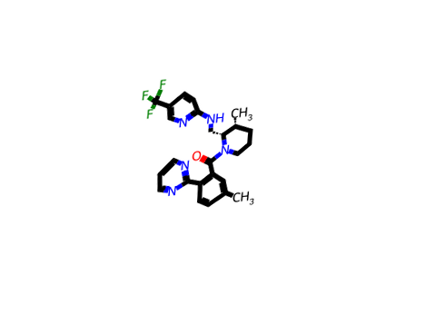 Cc1ccc(-c2ncccn2)c(C(=O)N2CCC[C@@H](C)[C@H]2CNc2ccc(C(F)(F)F)cn2)c1